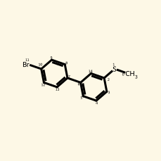 CSc1cccc(-c2ccc(Br)cc2)c1